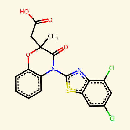 CC1(CC(=O)O)Oc2ccccc2N(c2nc3c(Cl)cc(Cl)cc3s2)C1=O